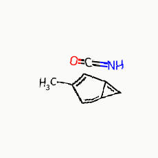 Cc1cc2cc-2c1.N=C=O